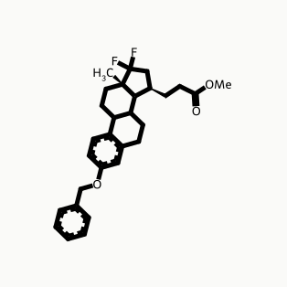 COC(=O)CC[C@@H]1CC(F)(F)[C@@]2(C)CCC3c4ccc(OCc5ccccc5)cc4CCC3C12